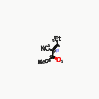 CC/C=C(\C#N)C(=O)OC